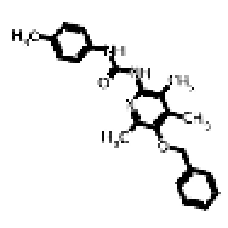 Cc1ccc(NC(=O)Nc2nc(C)c(OCc3ccccc3)c(C)c2C)cc1